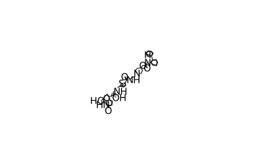 O=C(Nc1ccccc1-c1ccccc1)OC1CCN(CCNC(=O)c2ccc(CNC[C@H](O)c3ccc(O)c4[nH]c(=O)ccc34)s2)CC1